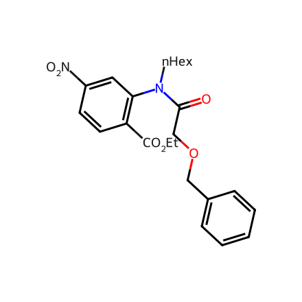 CCCCCCN(C(=O)COCc1ccccc1)c1cc([N+](=O)[O-])ccc1C(=O)OCC